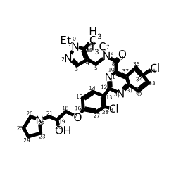 CCn1ncc(CN(C)C(=O)c2nc(-c3ccc(OCC(O)CN4CCCC4)cc3Cl)nc3ccc(Cl)cc23)c1C